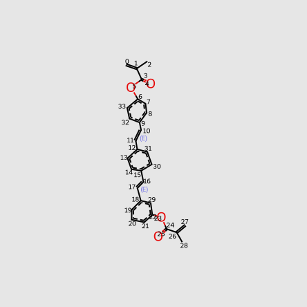 C=C(C)C(=O)Oc1ccc(/C=C/c2ccc(/C=C/c3cccc(OC(=O)C(=C)C)c3)cc2)cc1